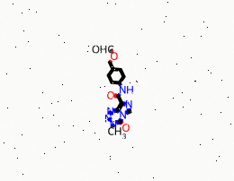 Cn1nnc2c(C(=O)NC3CCC(COC=O)CC3)ncn2c1=O